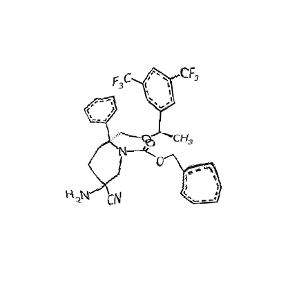 C[C@@H](OC[C@@]1(c2ccccc2)CCC(N)(C#N)CN1C(=O)OCc1ccccc1)c1cc(C(F)(F)F)cc(C(F)(F)F)c1